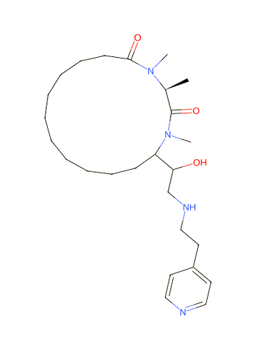 C[C@H]1C(=O)N(C)C(C(O)CNCCc2ccncc2)CCCCCCCCCCC(=O)N1C